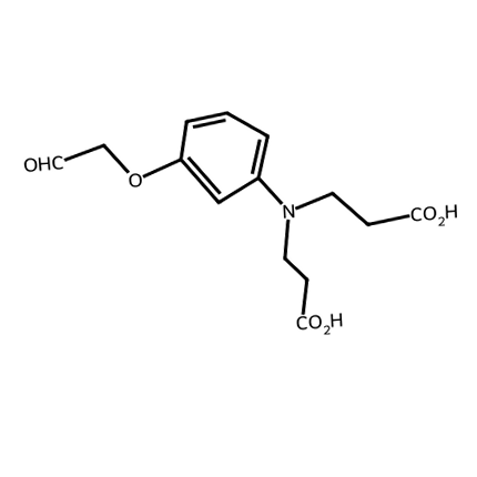 O=CCOc1cccc(N(CCC(=O)O)CCC(=O)O)c1